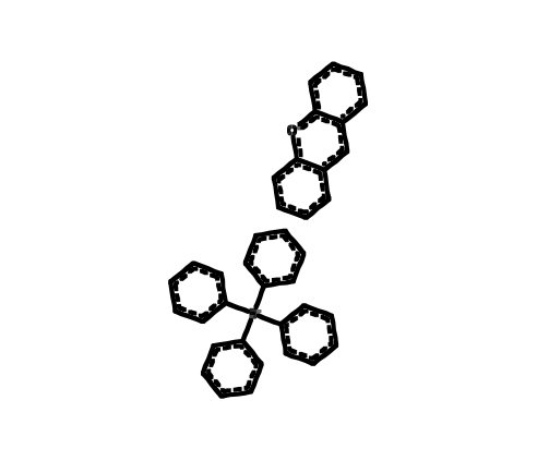 c1ccc([B-](c2ccccc2)(c2ccccc2)c2ccccc2)cc1.c1ccc2[o+]c3ccccc3cc2c1